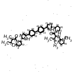 CC(C)[C@H](C)C(=O)N1CCC[C@H]1c1ncc(-c2ccc(-c3ccc(-c4cnc([C@@H]5CCCN5C(=O)[C@H](NC5=NCCN5C)C(C)C)[nH]4)cc3)cc2)[nH]1